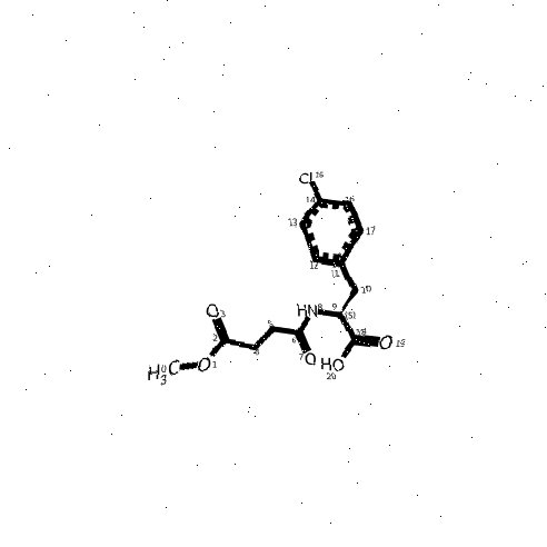 COC(=O)CCC(=O)N[C@@H](Cc1ccc(Cl)cc1)C(=O)O